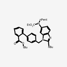 CCCCCN(C(=O)OCC)c1ccc2nc(CCCC)n(Cc3ccc(-c4ccccc4C(=O)OC(C)(C)C)cc3)c2c1